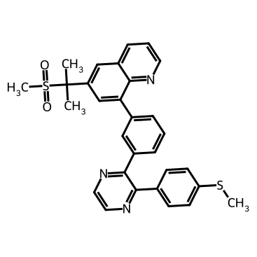 CSc1ccc(-c2nccnc2-c2cccc(-c3cc(C(C)(C)S(C)(=O)=O)cc4cccnc34)c2)cc1